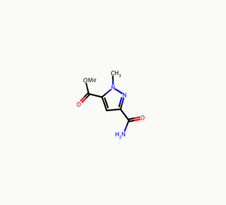 COC(=O)c1cc(C(N)=O)nn1C